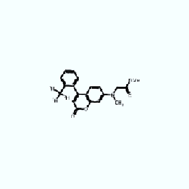 [2H]C([2H])([2H])c1ccccc1-c1cc(=O)oc2cc(N(C)CC(=O)NC)ccc12